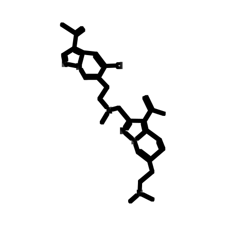 C=C(C)c1cnn2cc(CCN(C)Cc3nn4cc(CCN(C)C)ccc4c3C(=C)C)c(Cl)cc12